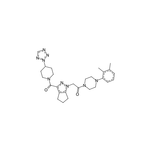 Cc1cccc(N2CCN(C(=O)Cn3nc(C(=O)N4CCC(n5ncnn5)CC4)c4c3CCC4)CC2)c1C